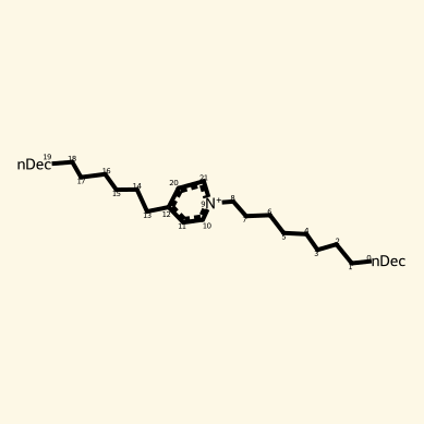 CCCCCCCCCCCCCCCCCC[n+]1ccc(CCCCCCCCCCCCCCCC)cc1